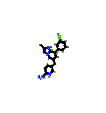 Cc1cn2cc(Cc3ccc(N)nc3)cc(-c3cccc(Cl)c3)c2n1